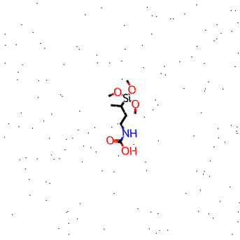 CO[Si](OC)(OC)C(C)CCNC(=O)O